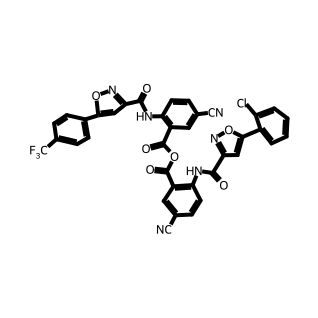 N#Cc1ccc(NC(=O)c2cc(-c3ccc(C(F)(F)F)cc3)on2)c(C(=O)OC(=O)c2cc(C#N)ccc2NC(=O)c2cc(-c3ccccc3Cl)on2)c1